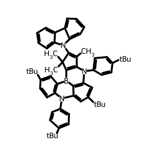 CC1=C(n2c3ccccc3c3ccccc32)C(C)(C)C2=C1N(c1ccc(C(C)(C)C)cc1)c1cc(C(C)(C)C)cc3c1B2c1cc(C(C)(C)C)ccc1N3c1ccc(C(C)(C)C)cc1